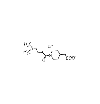 CN(C)C/C=C/C(=O)N1CCC(CC(=O)[O-])CC1.[Li+]